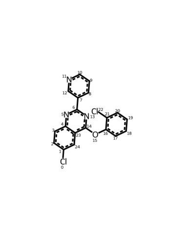 Clc1ccc2nc(-c3cccnc3)nc(Oc3ccccc3Cl)c2c1